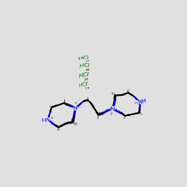 C1CN(CCN2CCNCC2)CCN1.Cl.Cl.Cl.Cl